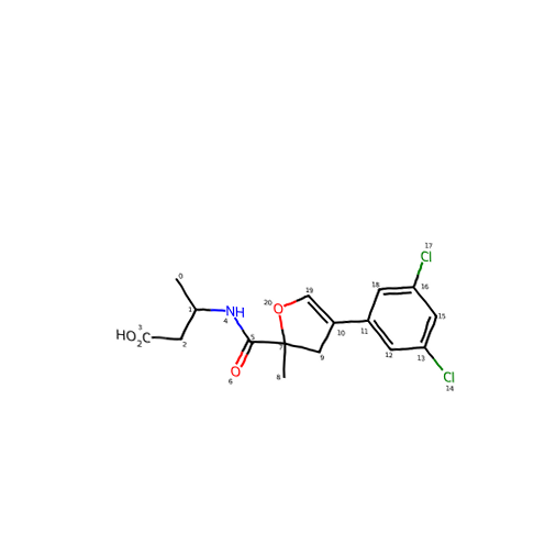 CC(CC(=O)O)NC(=O)C1(C)CC(c2cc(Cl)cc(Cl)c2)=CO1